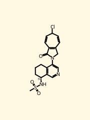 CS(=O)(=O)N[C@H]1CCCc2c1cncc2N1CC2=C(C=CC(Cl)C=C2)C1=O